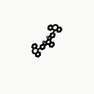 c1ccc2c(c1)CCc1ccccc1N2c1ccc2c(c1)oc1c3oc4cc(N5c6ccccc6CCc6ccccc65)ccc4c3c3ccccc3c21